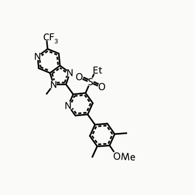 CCS(=O)(=O)c1cc(-c2cc(C)c(OC)c(C)c2)cnc1-c1nc2cc(C(F)(F)F)ncc2n1C